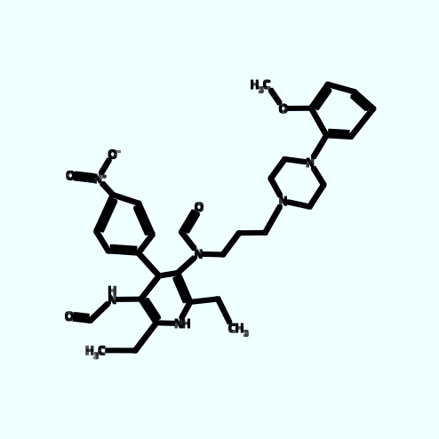 CCC1=C(NC=O)C(c2ccc([N+](=O)[O-])cc2)C(N(C=O)CCCN2CCN(c3ccccc3OC)CC2)=C(CC)N1